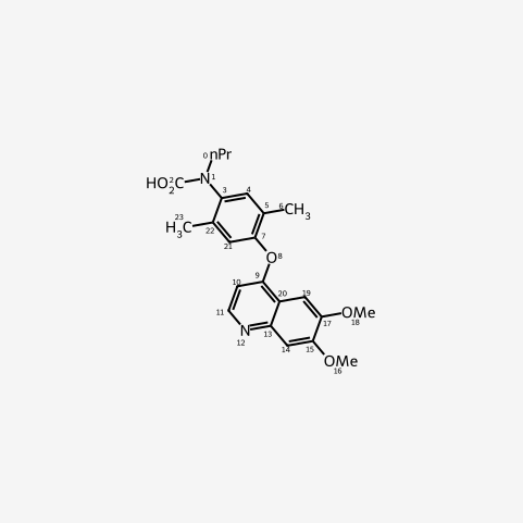 CCCN(C(=O)O)c1cc(C)c(Oc2ccnc3cc(OC)c(OC)cc23)cc1C